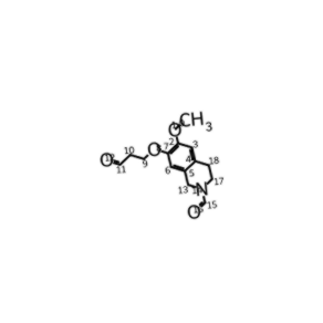 COc1cc2c(cc1OCCC=O)CN(C=O)CC2